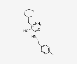 Cc1ccc(CCNC(=O)C(O)[C@H](N)CC2CCCCC2)cc1